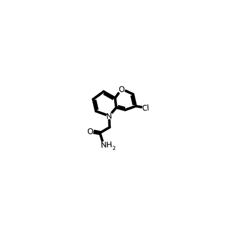 NC(=O)CN1C=CC=C2OC=C(Cl)C=C21